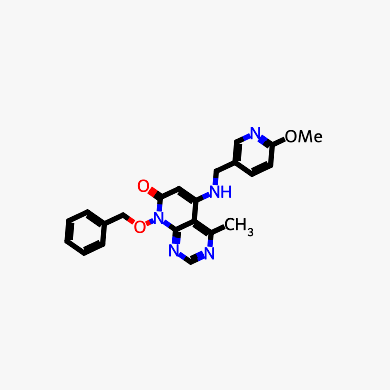 COc1ccc(CNc2cc(=O)n(OCc3ccccc3)c3ncnc(C)c23)cn1